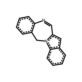 C1=Nc2ccccc2Cn2c1cc1ccccc12